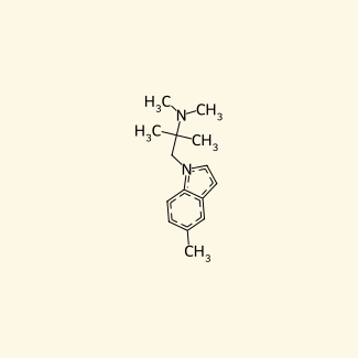 Cc1ccc2c(ccn2CC(C)(C)N(C)C)c1